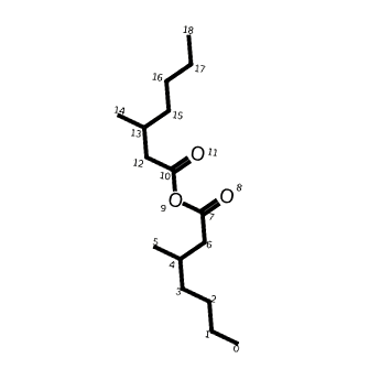 CCCCC(C)CC(=O)OC(=O)CC(C)CCCC